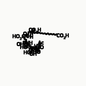 CC(=O)CNC(=O)[C@H](CO)NC(=O)[C@H](CCC(O)O)NC(=O)CNC[C@@](C=O)(CO)NC(=O)CC[C@H](NC(=O)CC[C@H](NC(=O)CCCCCCCCCCCCCCCCC(=O)O)C(=O)O)C(=O)O